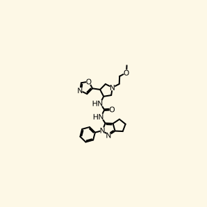 COCCN1CC(NC(=O)Nc2c3c(nn2-c2ccccc2)CCC3)C(c2cnco2)C1